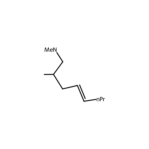 CCCC=CCC(C)CNC